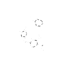 COc1cccc(CCNc2nc(Nc3cnn(C)c3)ncc2C(N)=O)c1